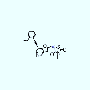 CCc1ccccc1C#Cc1cncc2cc(/C=C3/SC(=O)NC3=O)oc12